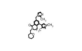 Cc1nccn1Cc1cc2c(c(-c3cn(C)nc3C(F)(F)F)c1)CCN(CC1CCCCO1)C2=O